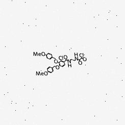 COc1ccc(COc2ccc(C(=O)NCCNC(=O)C(=O)Cl)c(Cl)c2OCc2ccc(OC)cc2)cc1